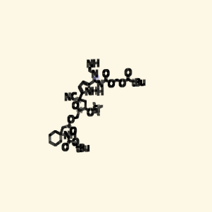 CC(C)(C)OC(=O)NC1(CC(=O)OC[C@H]2O[C@@](C#N)(c3ccc(/C(=N\C=N)NC(=O)OCOC(=O)C(C)(C)C)[nH]3)CC2O[Si](C)(C)C)CCCCC1